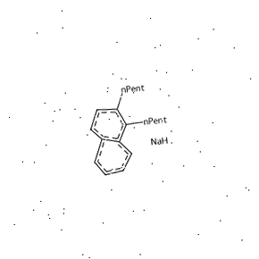 CCCCCc1ccc2ccccc2c1CCCCC.[NaH]